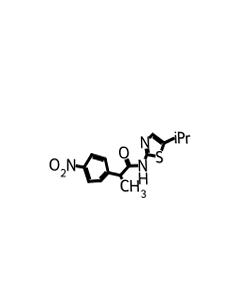 CC(C)c1cnc(NC(=O)C(C)c2ccc([N+](=O)[O-])cc2)s1